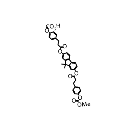 COC(=O)Oc1ccc(CCC(=O)Oc2ccc3c(c2)C(C)(C)c2cc(OC(=O)CCc4ccc(OC(=O)O)cc4)ccc2-3)cc1